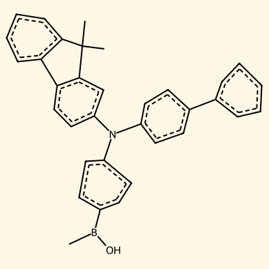 CB(O)c1ccc(N(c2ccc(-c3ccccc3)cc2)c2ccc3c(c2)C(C)(C)c2ccccc2-3)cc1